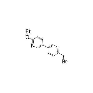 CCOc1ccc(-c2ccc(CBr)cc2)cn1